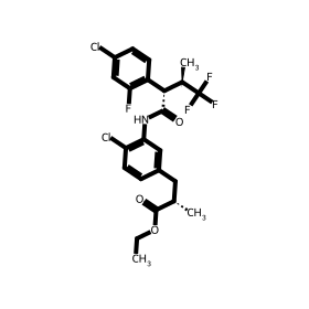 CCOC(=O)[C@@H](C)Cc1ccc(Cl)c(NC(=O)[C@H](c2ccc(Cl)cc2F)[C@@H](C)C(F)(F)F)c1